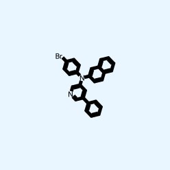 Brc1ccc(N(c2cncc(-c3ccccc3)c2)c2ccc3ccccc3c2)cc1